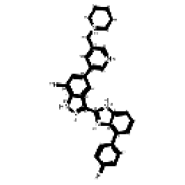 Fc1ccc(-c2cccc3[nH]c(-c4n[nH]c5c(F)cc(-c6cncc(CN7CCCCC7)c6)cc45)nc23)cc1